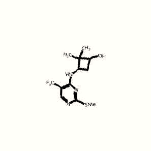 CSc1ncc(C(F)(F)F)c(N[C@@H]2CC(O)C2(C)C)n1